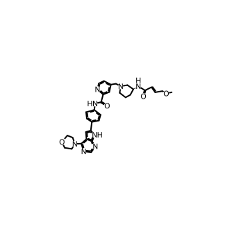 COC/C=C/C(=O)N[C@@H]1CCCN(Cc2ccnc(C(=O)Nc3ccc(-c4cc5c(N6CCOCC6)ncnc5[nH]4)cc3)c2)C1